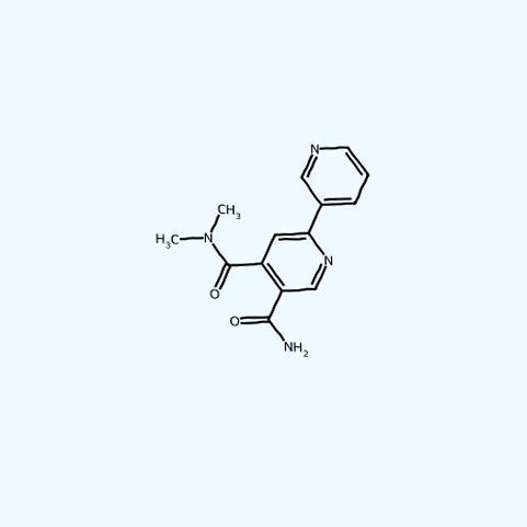 CN(C)C(=O)c1cc(-c2cccnc2)ncc1C(N)=O